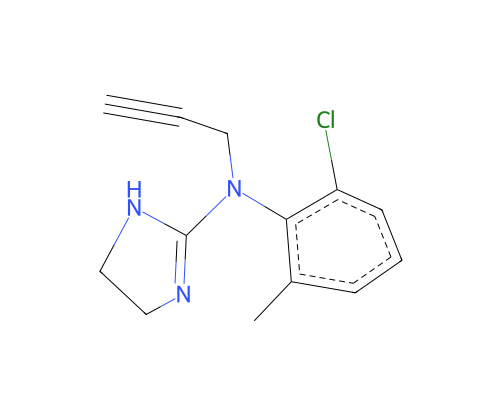 C#CCN(C1=NCCN1)c1c(C)cccc1Cl